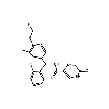 O=C(N[C@@H](c1ccc(OCF)c(F)c1)c1ncccc1F)c1c[nH]c(=O)cn1